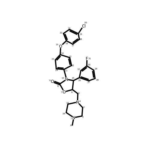 CN1CCN(CC2OC(=O)N(c3ccc(Oc4ccc(Cl)cc4)cc3)C2c2cccc(F)c2)CC1